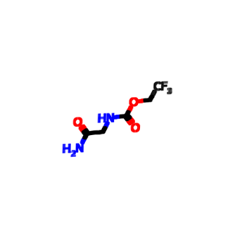 NC(=O)CNC(=O)OCC(F)(F)F